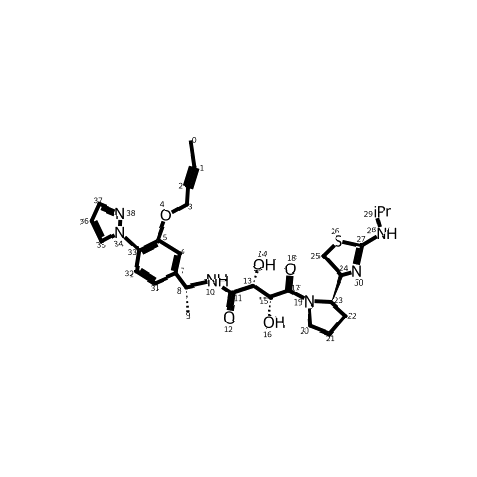 CC#CCOc1cc([C@@H](C)NC(=O)[C@H](O)[C@@H](O)C(=O)N2CCC[C@@H]2C2CSC(NC(C)C)=N2)ccc1-n1cccn1